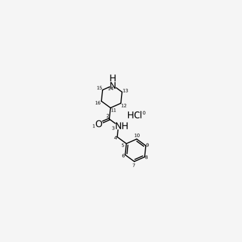 Cl.O=C(NCc1ccccc1)C1CCNCC1